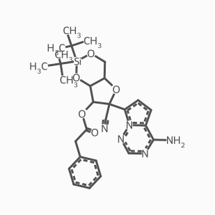 CC(C)(C)[Si]1(C(C)(C)C)OCC2OC(C#N)(c3ccc4c(N)ncnn34)C(OC(=O)Cc3ccccc3)C2O1